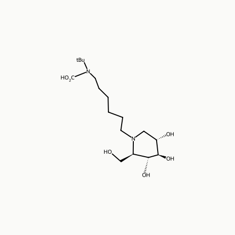 CC(C)(C)N(CCCCCCN1C[C@H](O)[C@@H](O)[C@H](O)[C@H]1CO)C(=O)O